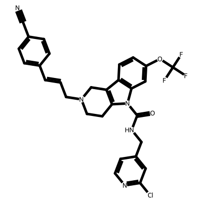 N#Cc1ccc(C=CCN2CCc3c(c4ccc(OC(F)(F)F)cc4n3C(=O)NCc3ccnc(Cl)c3)C2)cc1